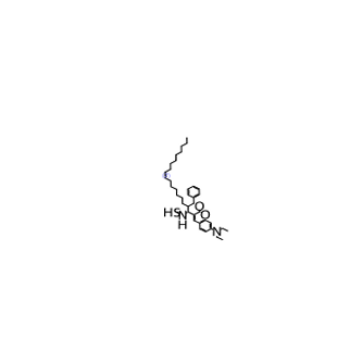 CCCCCCCC/C=C\CCCCCCC(Cc1ccccc1)C(NS)c1cc2ccc(N(CC)CC)cc2oc1=O